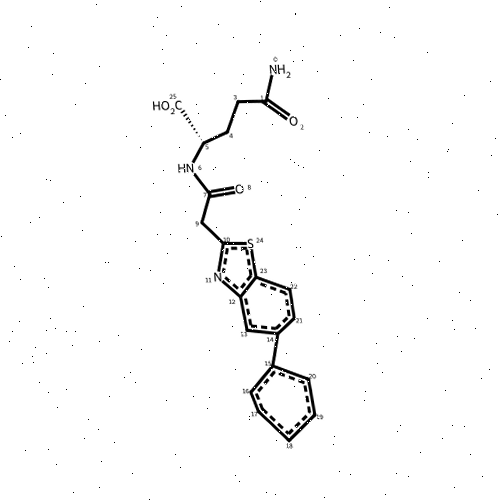 NC(=O)CC[C@H](NC(=O)Cc1nc2cc(-c3ccccc3)ccc2s1)C(=O)O